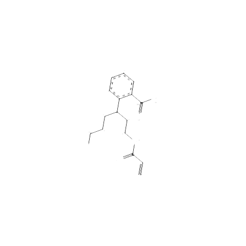 C=CC(=O)OCCC(CCC[O])c1ccccc1C(=O)O